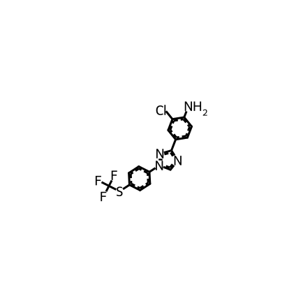 Nc1ccc(-c2ncn(-c3ccc(SC(F)(F)F)cc3)n2)cc1Cl